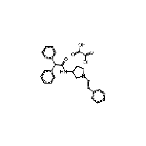 O=C(NC1CCN(CCc2ccccc2)C1)C(c1ccccc1)c1ccccc1.O=C(O)C(=O)O